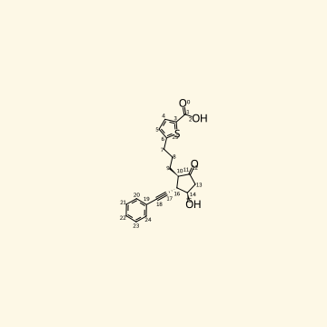 O=C(O)c1ccc(CCC[C@H]2C(=O)C[C@@H](O)[C@@H]2C#Cc2ccccc2)s1